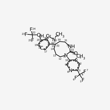 Cc1cc(C(F)(F)F)ncc1N1CCC[C@](c2cccc(OC(F)(F)F)c2)(N(C)C)CCNC1=O